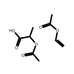 C=COC(C)=O.CC(=O)OC(C)C(=O)O